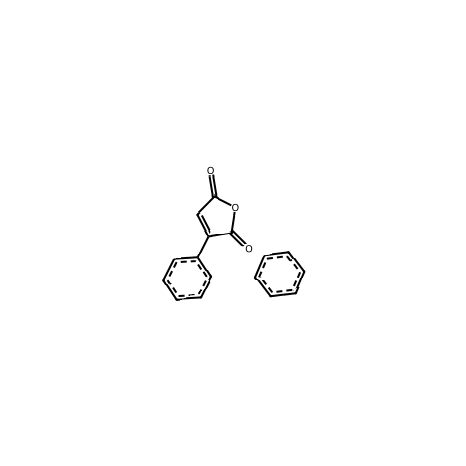 O=C1C=C(c2ccccc2)C(=O)O1.c1ccccc1